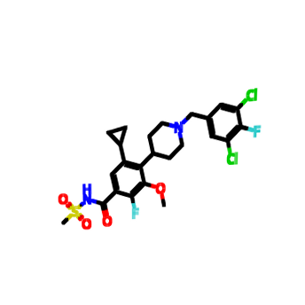 COc1c(F)c(C(=O)NS(C)(=O)=O)cc(C2CC2)c1C1CCN(Cc2cc(Cl)c(F)c(Cl)c2)CC1